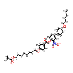 C=C(C)C(=O)OCCCCCCCCOc1ccc(C(=O)Oc2ccc(-c3ccc(OCCCCCC)cc3)cc2[N+](=O)[O-])cc1